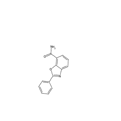 NC(=O)c1cccc2nc(-c3ccccc3)oc12